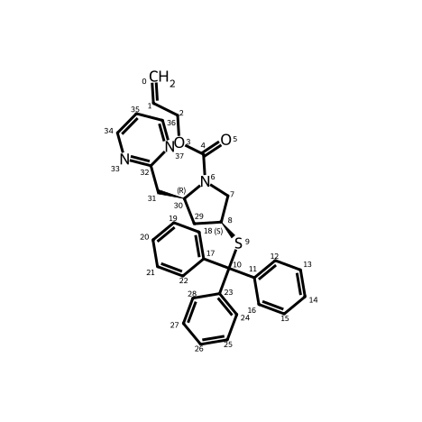 C=CCOC(=O)N1C[C@@H](SC(c2ccccc2)(c2ccccc2)c2ccccc2)C[C@H]1Cc1ncccn1